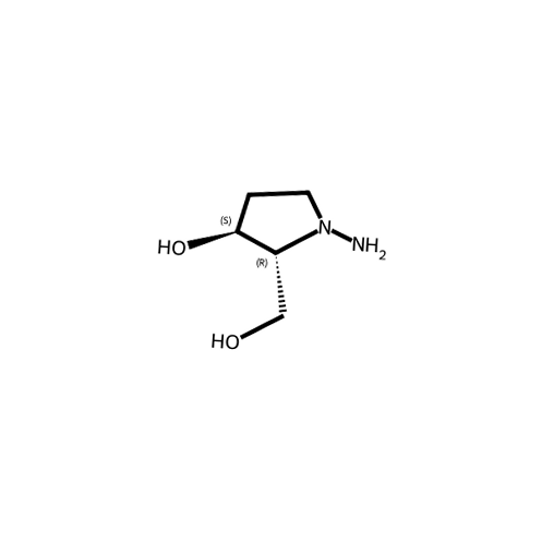 NN1CC[C@H](O)[C@H]1CO